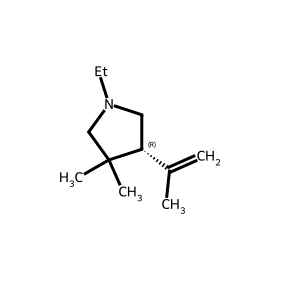 C=C(C)[C@H]1CN(CC)CC1(C)C